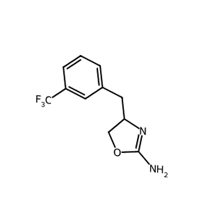 NC1=NC(Cc2cccc(C(F)(F)F)c2)CO1